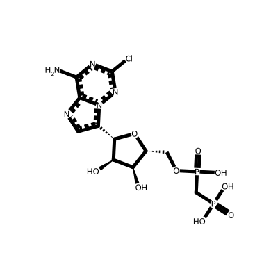 Nc1nc(Cl)nn2c([C@@H]3O[C@H](COP(=O)(O)CP(=O)(O)O)[C@@H](O)[C@H]3O)cnc12